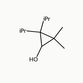 CC(C)C1(C(C)C)C(O)C1(C)C